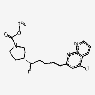 CC(C)(C)OC(=O)N1CC[C@@H](C(F)CCCCc2cc(Cl)c3cccnc3n2)C1